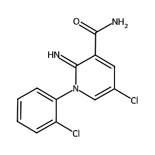 N=c1c(C(N)=O)cc(Cl)cn1-c1ccccc1Cl